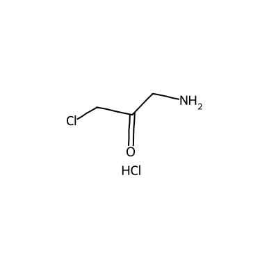 Cl.NCC(=O)CCl